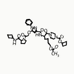 CC(=O)OCCCCC(NC(=O)c1cc(OCC(=O)N2CCCC2C(=O)NC2CCC2)n(-c2ccccc2)n1)C(=O)N1CCN(C(=O)OC2CCC2)CC1